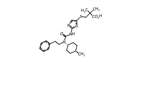 CC(C)(CSc1cnc(NC(=O)N(CCc2ccccc2)[C@H]2CC[C@H](C)CC2)s1)C(=O)O